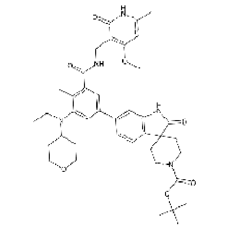 CCN(c1cc(-c2ccc3c(c2)NC(=O)C32CCN(C(=O)OC(C)(C)C)CC2)cc(C(=O)NCc2c(OC)cc(C)[nH]c2=O)c1C)C1CCOCC1